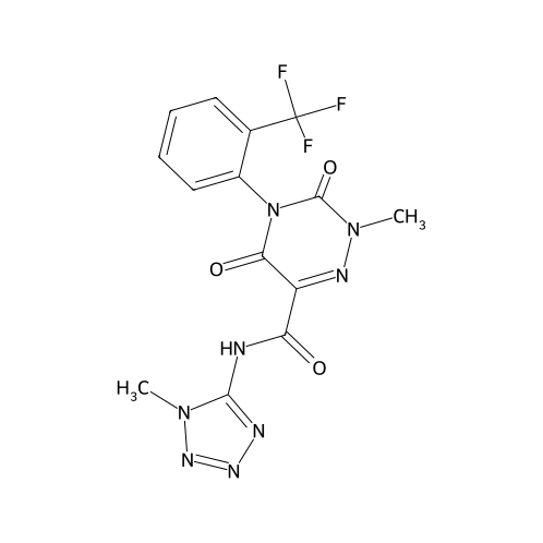 Cn1nnnc1NC(=O)c1nn(C)c(=O)n(-c2ccccc2C(F)(F)F)c1=O